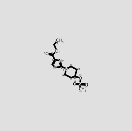 CCOC(=O)c1csc(N2CCC(OS(C)(=O)=O)CC2)n1